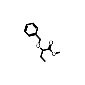 CCC(OCc1ccccc1)C(=O)OC